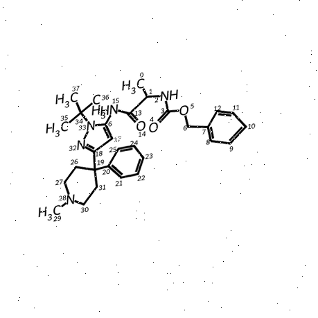 CC(NC(=O)OCc1ccccc1)C(=O)Nc1cc(C2(c3ccccc3)CCN(C)CC2)nn1C(C)(C)C